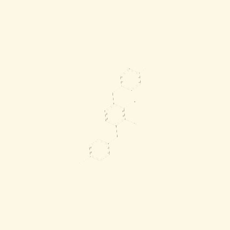 Nc1c(Cc2ccc(O)cc2)ccc(Cc2ccc(O)cc2)c1O